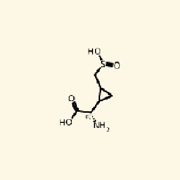 N[C@H](C(=O)O)C1CC1CS(=O)O